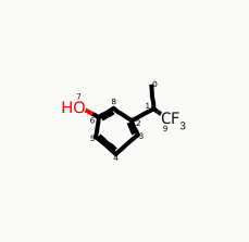 CC(c1cccc(O)c1)C(F)(F)F